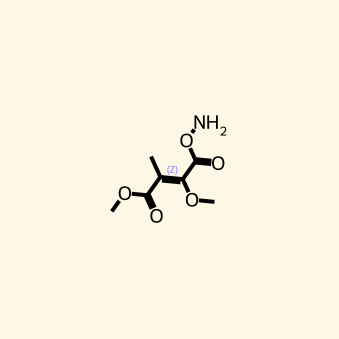 COC(=O)/C(C)=C(\OC)C(=O)ON